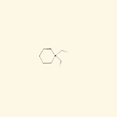 [O]CC1(CF)CCCCC1